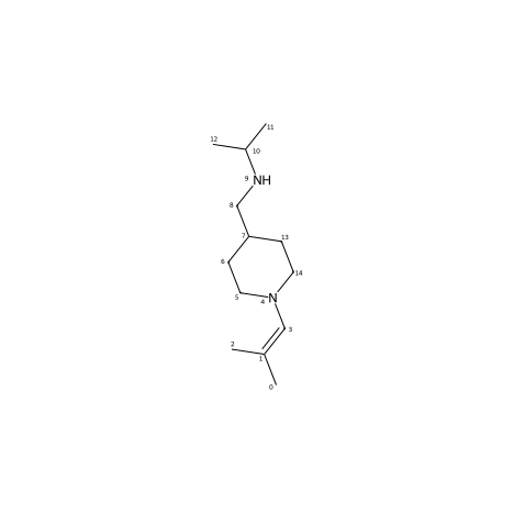 CC(C)=CN1CCC(CNC(C)C)CC1